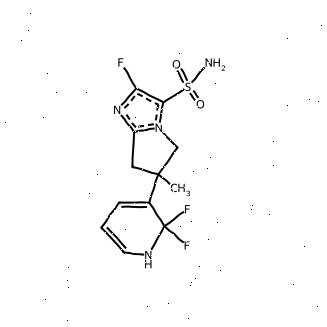 CC1(C2=CC=CNC2(F)F)Cc2nc(F)c(S(N)(=O)=O)n2C1